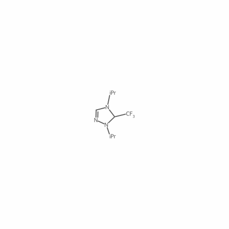 CC(C)N1C=NN(C(C)C)C1C(F)(F)F